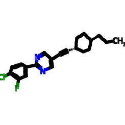 CCC[C@H]1CC[C@H](C#Cc2cnc(-c3ccc(Cl)c(F)c3)nc2)CC1